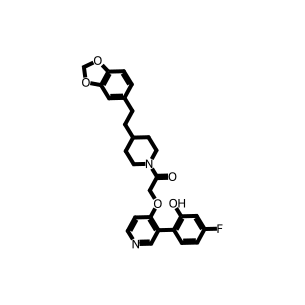 O=C(COc1ccncc1-c1ccc(F)cc1O)N1CCC(CCc2ccc3c(c2)OCO3)CC1